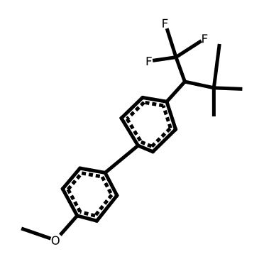 COc1ccc(-c2ccc(C(C(C)(C)C)C(F)(F)F)cc2)cc1